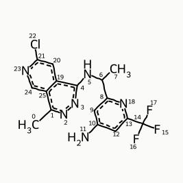 Cc1nnc(NC(C)c2cc(N)cc(C(F)(F)F)n2)c2cc(Cl)ncc12